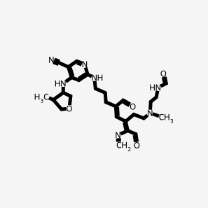 C=N/C(C=O)=C(\C=C(/C=O)CCCNc1cc(NC2COCC2C)c(C#N)cn1)CCN(C)CCNC=O